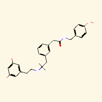 COc1ccc(CNC(=O)Cc2cccc(CC(C)(C)NC[C@H](O)c3cc(O)cc(O)c3)c2)cc1